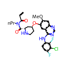 C=CC(=O)N(CCC)C(=O)[C@@H]1C[C@@H](Oc2cc3c(Nc4ccc(F)c(Cl)c4F)ncnc3cc2OC)CCN1